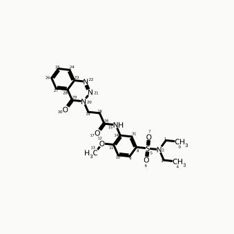 CCN(CC)S(=O)(=O)c1ccc(OC)c(NC(=O)CCn2nnc3ccccc3c2=O)c1